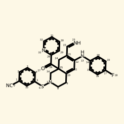 N#Cc1cccc(SN2CCC3=CC(Nc4ccc(F)cc4)=C(C=N)CC3(C(=O)c3ccccn3)C2)c1